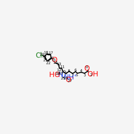 O=C(O)CCCCCCC1C(CCCCOc2ccc(Cl)cc2)N(O)C[NH+]1[O-]